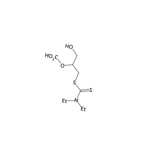 CCN(CC)C(=S)SCC(CO)OC(=O)O